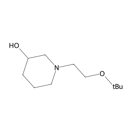 CC(C)(C)OCCN1CCCC(O)C1